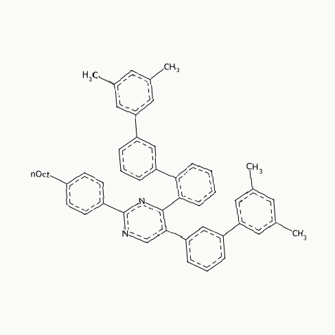 CCCCCCCCc1ccc(-c2ncc(-c3cccc(-c4cc(C)cc(C)c4)c3)c(-c3ccccc3-c3cccc(-c4cc(C)cc(C)c4)c3)n2)cc1